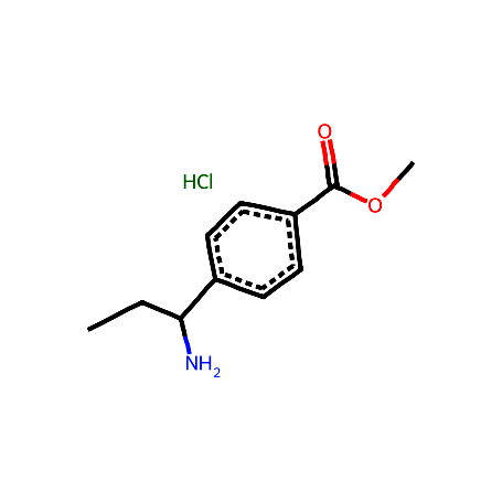 CCC(N)c1ccc(C(=O)OC)cc1.Cl